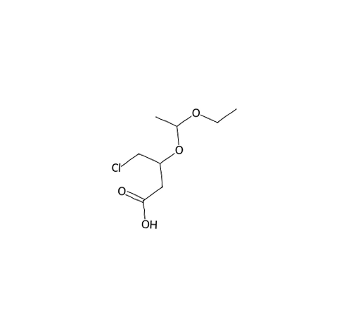 CCOC(C)OC(CCl)CC(=O)O